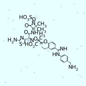 CC1(C)[C@H](NC(=O)/C(=N\O[C@](C)(C(=O)O)[C@H]2CCc3cc(C(=N)Nc4ccc(CN)cc4)ccc3O2)c2csc(N)n2)C(=O)N1OS(=O)(=O)O